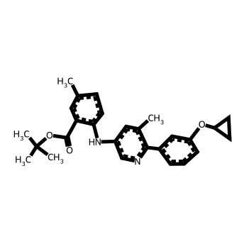 Cc1ccc(Nc2cnc(-c3cccc(OC4CC4)c3)c(C)c2)c(C(=O)OC(C)(C)C)c1